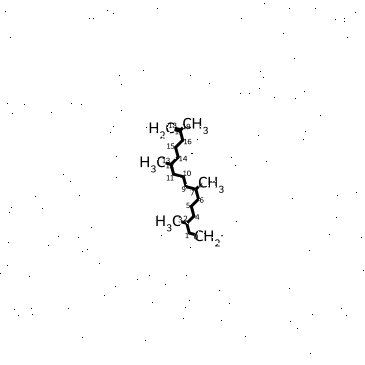 [CH2]CC(C)CCCC(C)CCCC(C)CCCC(=C)C